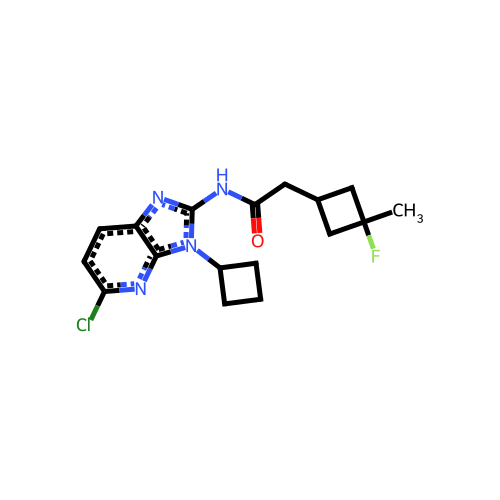 CC1(F)CC(CC(=O)Nc2nc3ccc(Cl)nc3n2C2CCC2)C1